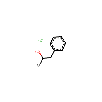 CCC(O)Cc1ccccc1.Cl